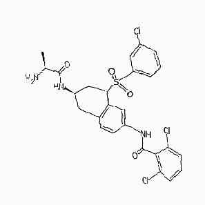 C[C@H](N)C(=O)N[C@@H]1Cc2ccc(NC(=O)c3c(Cl)cccc3Cl)cc2C(S(=O)(=O)c2cccc(Cl)c2)C1